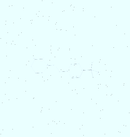 CC1(c2ccc(COC3CCCCO3)cc2)CC1